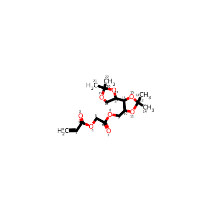 C=CC(=O)OCC(=O)OCC1OC(C)(C)OC1C1COC(C)(C)O1